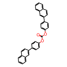 O=C(Oc1ccc(-c2ccc3ccccc3c2)cc1)Oc1ccc(-c2ccc3ccccc3c2)cc1